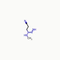 CNN(CCC#N)N=N